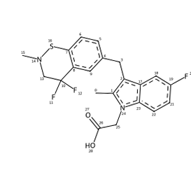 Cc1c(Cc2ccc3c(c2)C(F)(F)CN(C)S3)c2cc(F)ccc2n1CC(=O)O